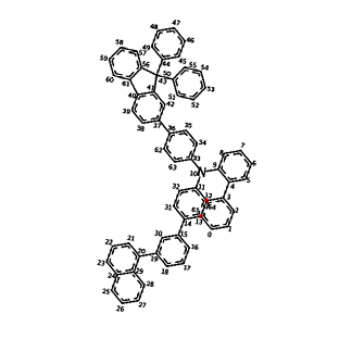 c1ccc(-c2ccccc2N(c2ccc(-c3cccc(-c4cccc5ccccc45)c3)cc2)c2ccc(-c3ccc4c(c3)C(c3ccccc3)(c3ccccc3)c3ccccc3-4)cc2)cc1